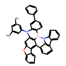 CC(C)(C)c1cc(N2c3cc(-c4ccccc4)ccc3B3c4c2cc2oc5ccccc5c2c4-c2cccc4c5ccccc5n3c24)cc(C(C)(C)C)c1